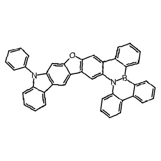 c1ccc(-n2c3ccccc3c3cc4c(cc32)oc2cc3c(cc24)N2B(c4ccccc4-c4ccccc42)c2ccccc2-3)cc1